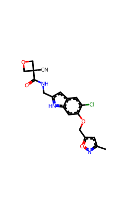 Cc1cc(COc2cc3[nH]c(CNC(=O)C4(C#N)COC4)cc3cc2Cl)on1